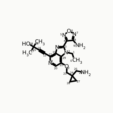 CCn1c(-c2nonc2N)nc2c(C#CC(C)(C)O)ncc(OCC3(CN)CC3)c21